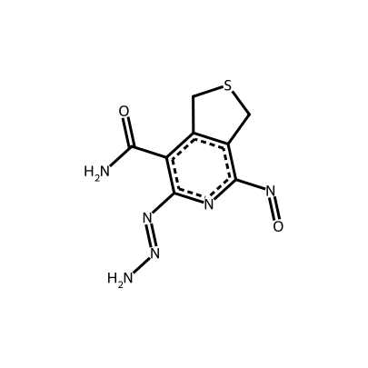 NN=Nc1nc(N=O)c2c(c1C(N)=O)CSC2